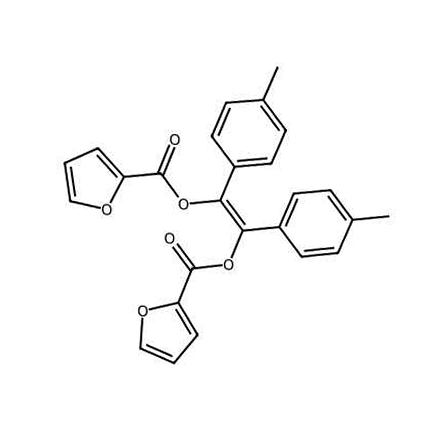 Cc1ccc(C(OC(=O)c2ccco2)=C(OC(=O)c2ccco2)c2ccc(C)cc2)cc1